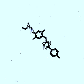 CCN(C)/C=N/c1cc(C)c(Cc2nc(-c3ccc(C)cc3)ns2)cc1C